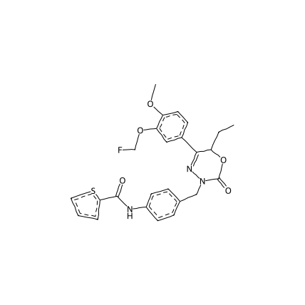 CCC1OC(=O)N(Cc2ccc(NC(=O)c3cccs3)cc2)N=C1c1ccc(OC)c(OCF)c1